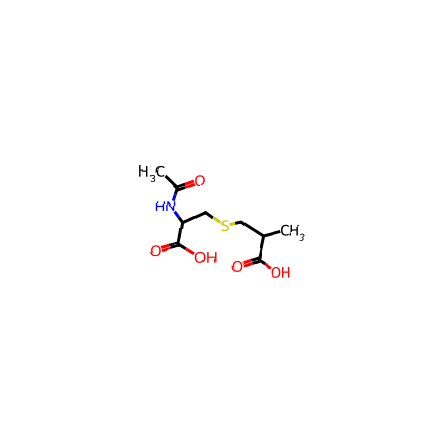 CC(=O)NC(CSCC(C)C(=O)O)C(=O)O